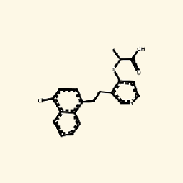 CC(Sc1ccncc1CCc1ccc(Cl)c2ccccc12)C(=O)O